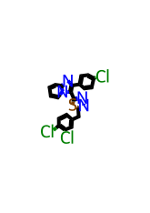 Clc1ccc(-c2nc3ccccn3c2-c2nnc(Cc3ccc(Cl)c(Cl)c3)s2)cc1